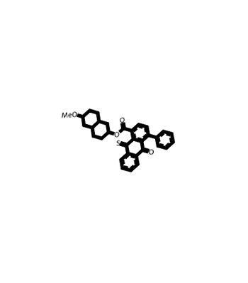 COC1CCC2CC(OC(=O)c3ccc(-c4ccccc4)c4c3C(=S)c3ccccc3C4=O)CCC2C1